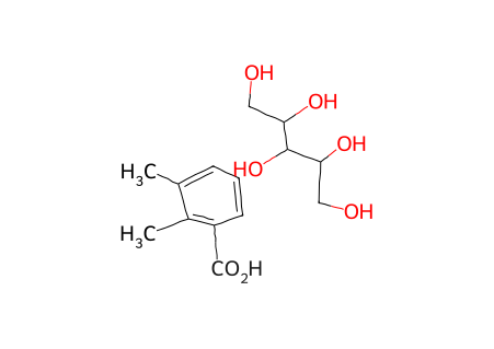 Cc1cccc(C(=O)O)c1C.OCC(O)C(O)C(O)CO